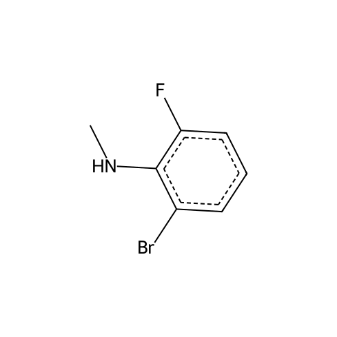 CNc1c(F)cccc1Br